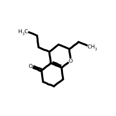 CCCC1CC(CC)OC2=C1C(=O)CCC2